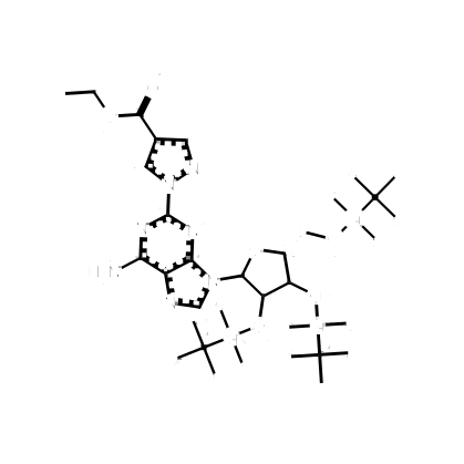 CCOC(=O)c1cnn(-c2nc(N)c3ncn(C4O[C@H](CO[Si](C)(C)C(C)(C)C)C(O[Si](C)(C)C(C)(C)C)C4O[Si](C)(C)C(C)(C)C)c3n2)c1